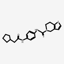 O=C(CC1CCCC1)Nc1ccc(NC(=S)N2CCc3sccc3C2)cc1